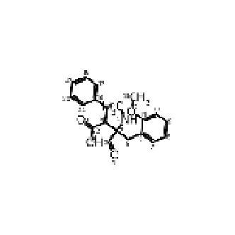 CNC(C=O)(Cc1ccccc1OC)C(Cc1ccccc1)C(=O)O